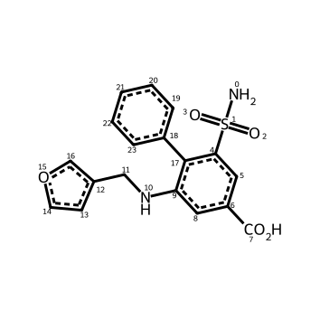 NS(=O)(=O)c1cc(C(=O)O)cc(NCc2ccoc2)c1-c1ccccc1